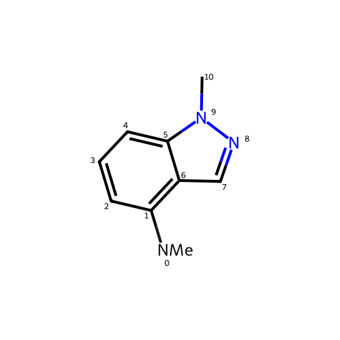 CNc1cccc2c1cnn2C